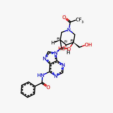 O=C(Nc1ncnc2c1ncn2[C@@H]1O[C@@]2(CO)CN(C(=O)C(F)(F)F)C[C@@H]1[C@@H]2O)c1ccccc1